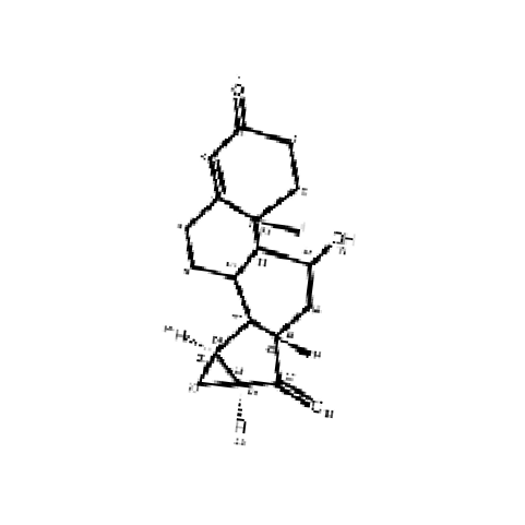 C[C@]12CCC(=O)C=C1CCC1C2C(O)C[C@]2(C)C(=O)[C@H]3C[C@H]3C12